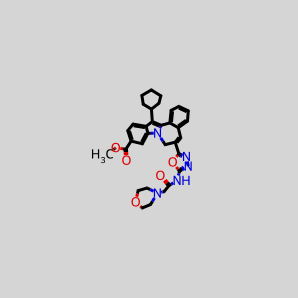 COC(=O)c1ccc2c(C3CCCCC3)c3n(c2c1)CC(c1nnc(NC(=O)CN2CCOCC2)o1)=Cc1ccccc1-3